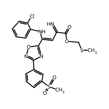 CSCOC(=O)C(=N)/C=C(\Nc1ccccc1Cl)c1nc(-c2cccc(S(C)(=O)=O)c2)no1